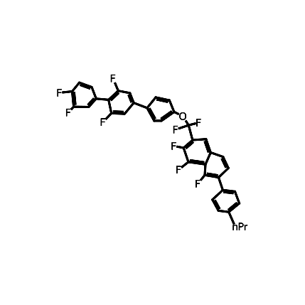 CCCc1ccc(-c2ccc3cc(C(F)(F)Oc4ccc(-c5cc(F)c(-c6ccc(F)c(F)c6)c(F)c5)cc4)c(F)c(F)c3c2F)cc1